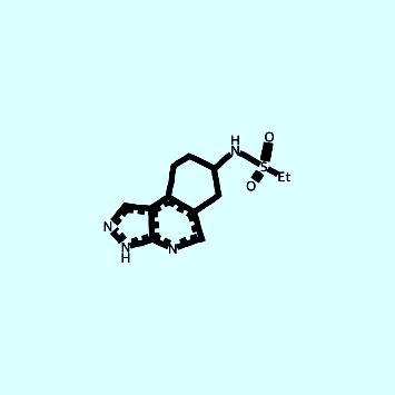 CCS(=O)(=O)NC1CCc2c(cnc3[nH]ncc23)C1